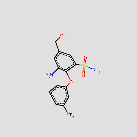 Nc1cc(CO)cc(S(N)(=O)=O)c1Oc1cccc(C(F)(F)F)c1